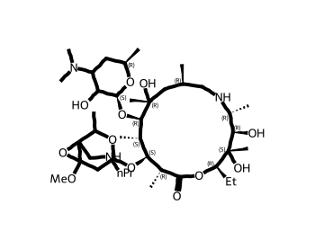 CCCNCC12OC1(OC)CC(O[C@H]1[C@H](C)[C@@H](O[C@@H]3O[C@H](C)CC(N(C)C)C3O)[C@](C)(O)C[C@@H](C)CN[C@H](C)[C@@H](O)[C@](C)(O)[C@@H](CC)OC(=O)[C@@H]1C)OC2C